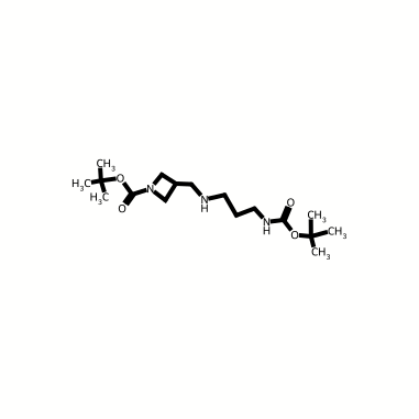 CC(C)(C)OC(=O)NCCCNCC1CN(C(=O)OC(C)(C)C)C1